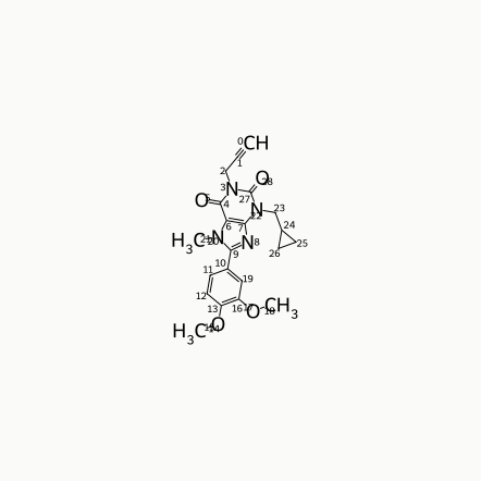 C#CCn1c(=O)c2c(nc(-c3ccc(OC)c(OC)c3)n2C)n(CC2CC2)c1=O